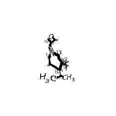 CC(C)[C@@H]1CCN(C2COC2)C[C@H]1F